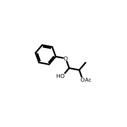 CC(=O)OC(C)C(O)Oc1ccccc1